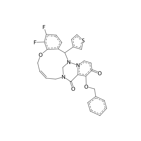 O=C1c2c(OCc3ccccc3)c(=O)ccn2N2CN1C/C=C\COc1c(ccc(F)c1F)C2c1ccsc1